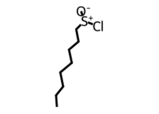 CCCCCCCC[S+]([O-])Cl